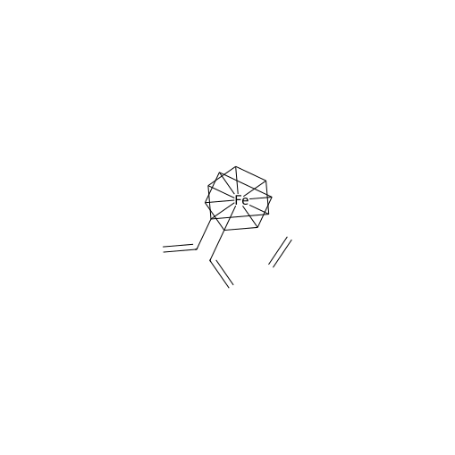 C=C.C=C[C]12[CH]3[CH]4[CH]5[CH]1[Fe]45321678[CH]2[CH]1[CH]6[C]7(C=C)[CH]28